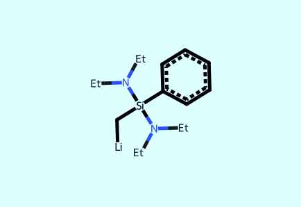 [Li][CH2][Si](c1ccccc1)(N(CC)CC)N(CC)CC